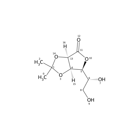 CC1(C)O[C@@H]2[C@H]([C@H](O)CO)OC(=O)[C@@H]2O1